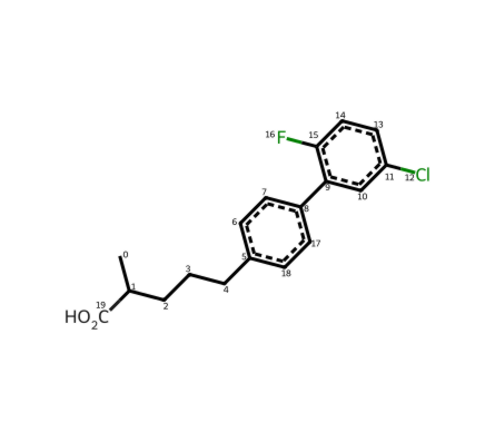 CC(CCCc1ccc(-c2cc(Cl)ccc2F)cc1)C(=O)O